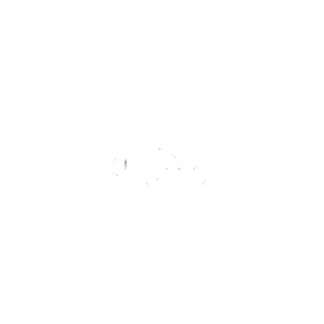 CC(=N)NC(=O)c1cc(-c2nnc([C@](C)(N)Cc3ccccc3)o2)cc(N(C)S(C)(=O)=O)c1